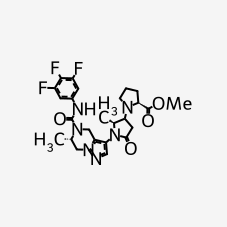 COC(=O)[C@@H]1CCCN1C1CC(=O)N(c2cnn3c2CN(C(=O)Nc2cc(F)c(F)c(F)c2)[C@@H](C)C3)[C@H]1C